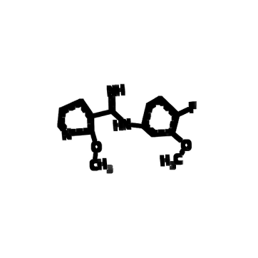 COc1cc(NC(=N)c2cccnc2OC)ccc1F